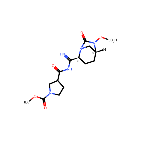 CC(C)(C)OC(=O)N1CCC(C(=O)NC(=N)[C@@H]2CC[C@@H]3CN2C(=O)N3OS(=O)(=O)O)C1